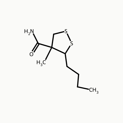 CCCCC1SSCC1(C)C(N)=O